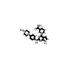 CC(=O)N1CCN(c2ccc(Nc3nc(N4CCCC(C(N)=O)C4)c4cc[nH]c4n3)cc2)CC1